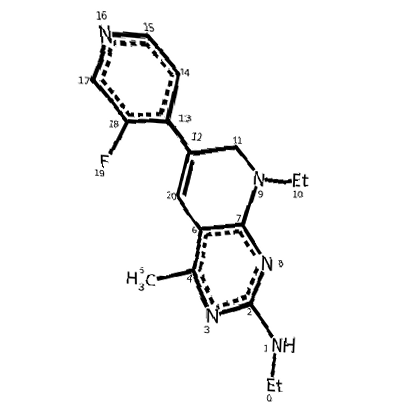 CCNc1nc(C)c2c(n1)N(CC)CC(c1ccncc1F)=C2